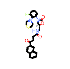 O=C(CCC(=O)c1ccc2ccccc2c1)NC[C@H]1CN(c2cccc(F)c2N2CCSCC2)C(=O)O1